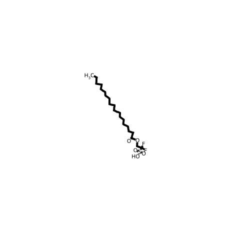 CCCCCCCCCCCCCCCCCCC(=O)OCC(F)(F)S(=O)(=O)O